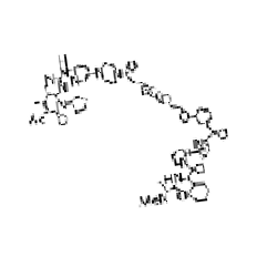 CNC(C)C(=O)NC(C(=O)N1CCC[C@H]1c1nc(C(=O)c2cccc(OCCOCCOCCC(=O)N3CCN(c4ccc(Nc5ncc6c(C)c(C(C)=O)c(=O)n(C7CCCC7)c6n5)nc4)CC3)c2)cs1)C1CCCCC1